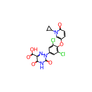 O=C(O)c1nn(-c2cc(Cl)c(Oc3ccc(=O)n(C4CC4)c3)c(Cl)c2)c(=O)[nH]c1=O